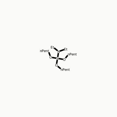 CCCCCO[Si](OCCCCC)(OCCCCC)N(CC)CC